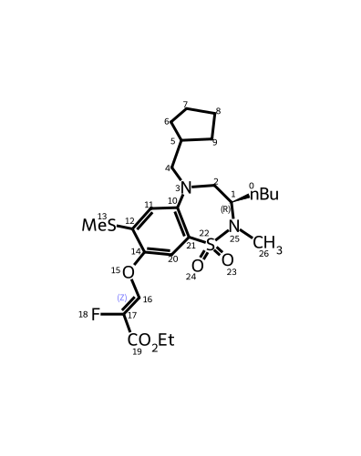 CCCC[C@@H]1CN(CC2CCCC2)c2cc(SC)c(O/C=C(\F)C(=O)OCC)cc2S(=O)(=O)N1C